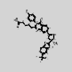 C[C@]1(c2nc3ccc(C(F)(F)F)cc3[nH]2)CC(c2ccc3c(=O)n(-c4ccc(F)cc4)c(CCCCC(=O)O)nc3c2)=NO1